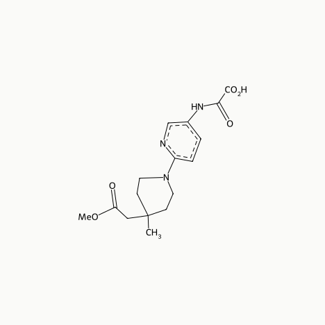 COC(=O)CC1(C)CCN(c2ccc(NC(=O)C(=O)O)cn2)CC1